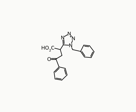 O=C(CC(C(=O)O)c1nnnn1Cc1ccccc1)c1ccccc1